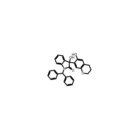 O=C1N(C(c2ccccc2)c2ccccc2)c2ccccc2C1(O)c1cc2c(cc1O)CCCO2